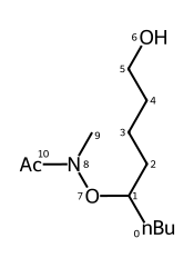 CCCCC(CCCCO)ON(C)C(C)=O